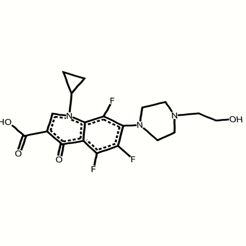 O=C(O)c1cn(C2CC2)c2c(F)c(N3CCN(CCO)CC3)c(F)c(F)c2c1=O